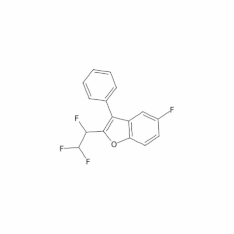 Fc1ccc2oc(C(F)C(F)F)c(-c3ccccc3)c2c1